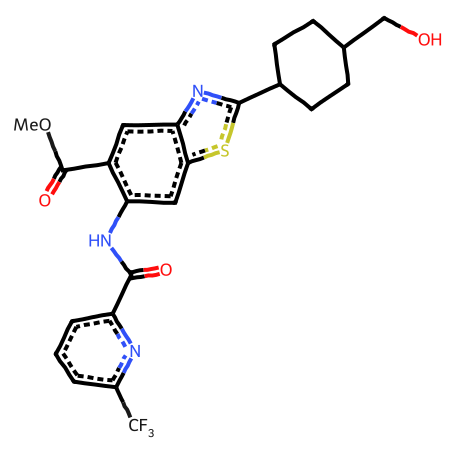 COC(=O)c1cc2nc(C3CCC(CO)CC3)sc2cc1NC(=O)c1cccc(C(F)(F)F)n1